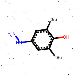 CC(C)(C)c1cc(NN)cc(C(C)(C)C)c1O